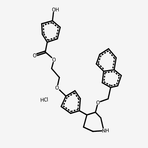 Cl.O=C(OCCOc1ccc(C2CCNCC2OCc2ccc3ccccc3c2)cc1)c1ccc(O)cc1